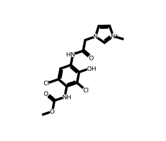 COC(=O)Nc1c(Cl)cc(NC(=O)Cn2cc[n+](C)c2)c(O)c1Cl